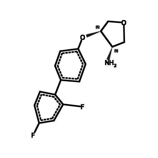 N[C@H]1COC[C@H]1Oc1ccc(-c2ccc(F)cc2F)cc1